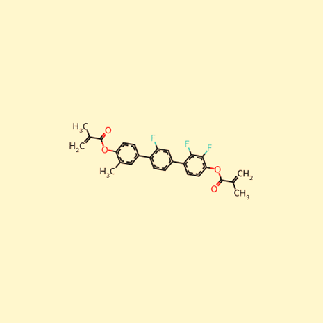 C=C(C)C(=O)Oc1ccc(-c2ccc(-c3ccc(OC(=O)C(=C)C)c(F)c3F)cc2F)cc1C